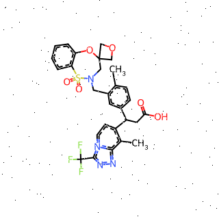 Cc1ccc(C(CC(=O)O)c2ccn3c(C(F)(F)F)nnc3c2C)cc1CN1CC2(COC2)Oc2ccccc2S1(=O)=O